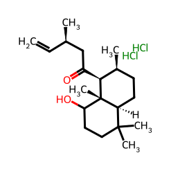 C=C[C@@H](C)CC(=O)[C@H]1[C@@H](C)CC[C@H]2C(C)(C)CCC(O)[C@]12C.Cl.Cl